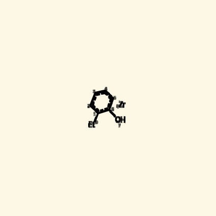 CCc1ccccc1O.[Zr]